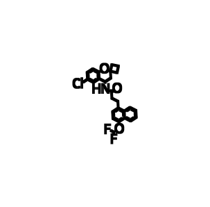 O=C(CCc1ccc(OC(F)F)c2ccccc12)N[C@H]1CC2(CCC2)Oc2ccc(Cl)cc21